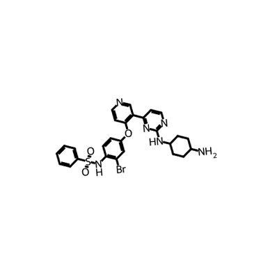 NC1CCC(Nc2nccc(-c3cnccc3Oc3ccc(NS(=O)(=O)c4ccccc4)c(Br)c3)n2)CC1